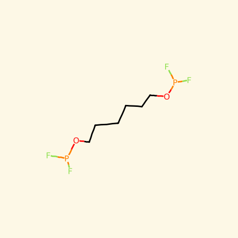 FP(F)OCCCCCCOP(F)F